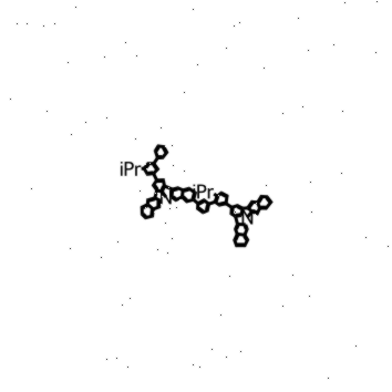 CC(C)c1cc(-c2ccccc2)cc(-c2cc3c4cc5ccccc5cc4n4c5cc6cc(-c7cccc(-c8cc(-c9cc%10c%11cc%12ccccc%12cc%11n%11c%12cc%13ccccc%13cc%12c(c9)c%10%11)ccc8C(C)C)c7)ccc6cc5c(c2)c34)c1